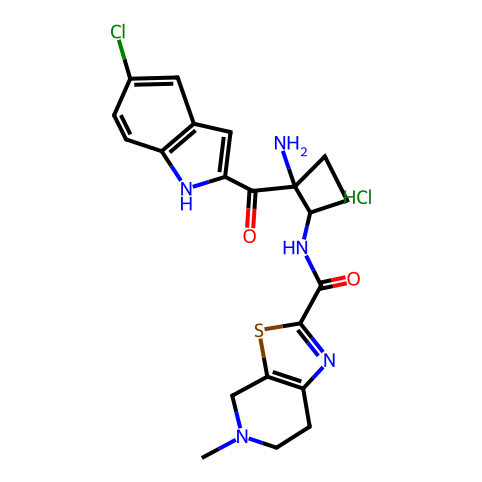 CN1CCc2nc(C(=O)NC3CCC3(N)C(=O)c3cc4cc(Cl)ccc4[nH]3)sc2C1.Cl